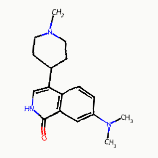 CN1CCC(c2c[nH]c(=O)c3cc(N(C)C)ccc23)CC1